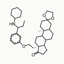 CCC(NC1CCCCC1)c1cccc(OCC[C@]23CCC4C(CCC5CC6(CC[C@@]54C)OCCO6)C2CCC3=O)c1